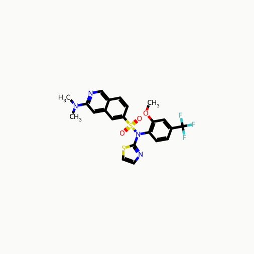 COc1cc(C(F)(F)F)ccc1N(c1nccs1)S(=O)(=O)c1ccc2cnc(N(C)C)cc2c1